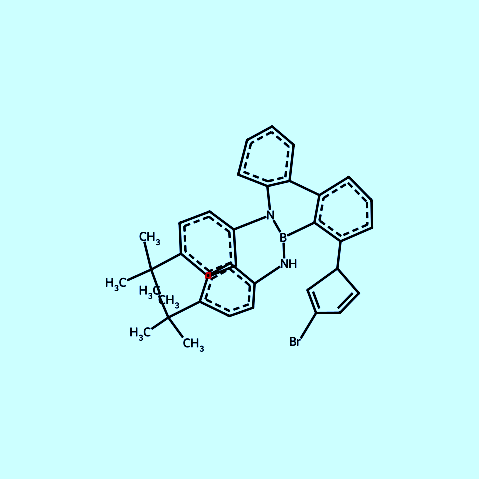 CC(C)(C)c1ccc(NB2c3c(cccc3C3C=CC(Br)=C3)-c3ccccc3N2c2ccc(C(C)(C)C)cc2)cc1